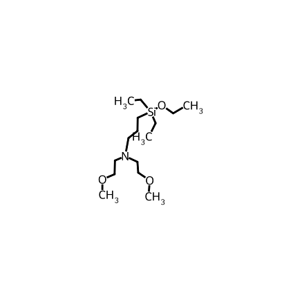 CCO[Si](CC)(CC)CCCN(CCOC)CCOC